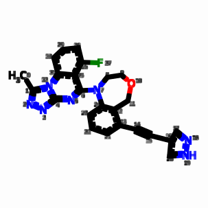 Cc1nnc2nc(N3CCOCc4c(C#Cc5cn[nH]c5)cccc43)c3c(F)cccc3n12